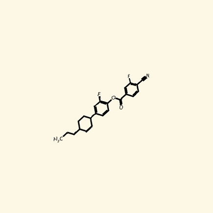 CCCC1CCC(c2ccc(OC(=O)c3ccc(C#N)c(F)c3)c(F)c2)CC1